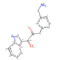 NCc1cccc(CC(=O)C(=O)c2c[nH]c3ccccc23)c1